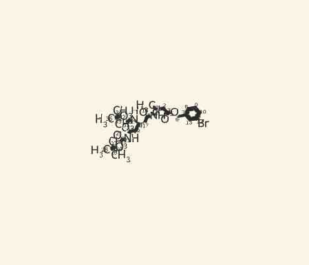 CN(CC(=O)OCc1cccc(Br)c1)NC(=O)C[C@H](CCNC(=O)OC(C)(C)C)NC(=O)OC(C)(C)C